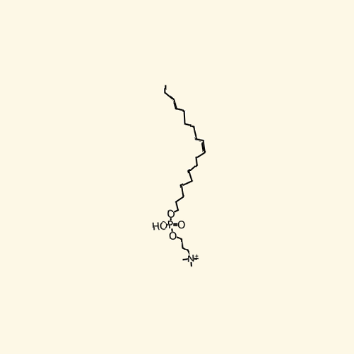 CCCCCCCC/C=C\CCCCCCCCOP(=O)(O)OCCC[N+](C)(C)C